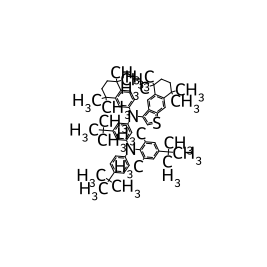 Cc1cc(C(C)(C)C)cc(C)c1N(c1ccc(C(C)(C)C)cc1)c1cc(N(c2ccc3c(c2)C(C)(C)CCC3(C)C)c2csc3cc4c(cc23)C(C)(C)CCC4(C)C)cc(C(C)(C)C)c1